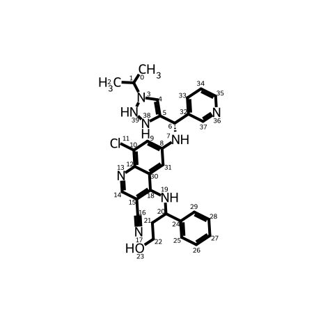 CC(C)N1C=C([C@@H](Nc2cc(Cl)c3ncc(C#N)c(NC(CCO)c4ccccc4)c3c2)c2cccnc2)NN1